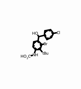 CC(C)(C)c1c(NC(=O)O)ccc(C(O)c2ccc(Cl)cc2)c1Br